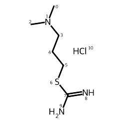 CN(C)CCCSC(=N)N.Cl